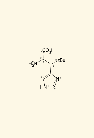 CC(C)(C)C(c1c[nH]cn1)[C@H](N)C(=O)O